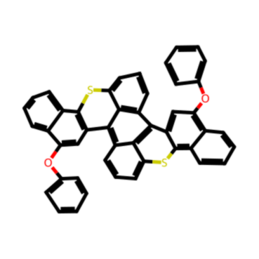 c1ccc(Oc2cc3c(sc4cccc5c4c3c3cccc4sc6c7ccccc7c(Oc7ccccc7)cc6c5c43)c3ccccc23)cc1